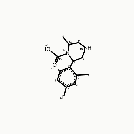 Cc1cc(F)ccc1C1CNCC(C)N1C(=O)O